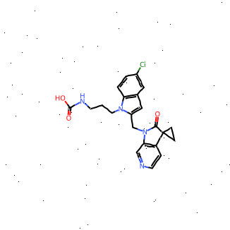 O=C(O)NCCCn1c(CN2C(=O)C3(CC3)c3ccncc32)cc2cc(Cl)ccc21